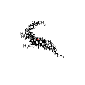 CCCCOC(=O)[C@@H]1C[C@H](C(=O)O[C@H]2CC[C@]3(C)[C@H]4CC[C@@H]5[C@H]6[C@H](C(C)C)CCC6(C(=O)NC6CC(C(=O)N7CCC(C(=O)OCC)CC7)C6(C)C)CC[C@@]5(C)[C@]4(C)CC[C@H]3C2(C)C)C1(C)C